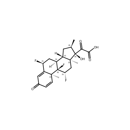 C[C@@H]1C[C@H]2[C@@H]3C[C@H](F)C4=CC(=O)C=C[C@]4(C)[C@@]3(F)[C@@H](F)C[C@]2(C)[C@@]1(O)C(=O)C(=O)O